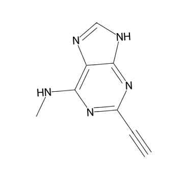 C#Cc1nc(NC)c2nc[nH]c2n1